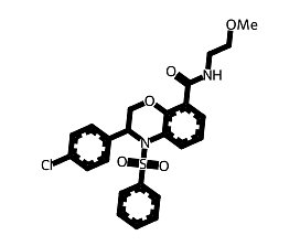 COCCNC(=O)c1cccc2c1OCC(c1ccc(Cl)cc1)N2S(=O)(=O)c1ccccc1